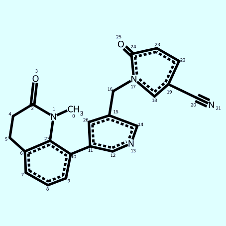 CN1C(=O)CCc2cccc(-c3cncc(Cn4cc(C#N)ccc4=O)c3)c21